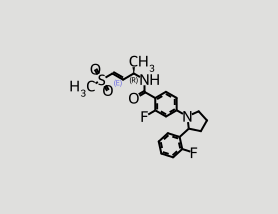 C[C@H](/C=C/S(C)(=O)=O)NC(=O)c1ccc(N2CCCC2c2ccccc2F)cc1F